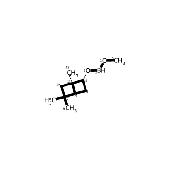 COBO[C@@H]1CC2C(C)(C)C[C@]21C